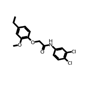 CCc1ccc(OCC(=O)Nc2ccc(Cl)c(Cl)c2)c(OC)c1